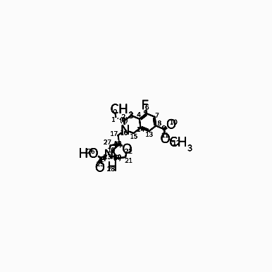 CC[C@@H]1Cc2c(F)cc(C(=O)OC)cc2CN1C[C@]12C[C@H](CO1)N(C(=O)O)C2